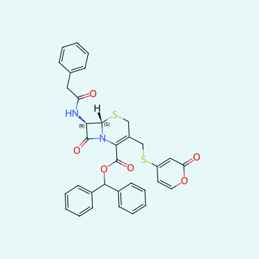 O=C(Cc1ccccc1)N[C@@H]1C(=O)N2C(C(=O)OC(c3ccccc3)c3ccccc3)=C(CSc3ccoc(=O)c3)CS[C@@H]12